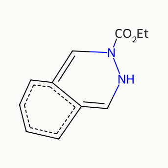 CCOC(=O)N1C=c2ccccc2=CN1